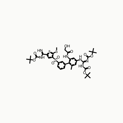 CSc1sc(C(=N)NC(=O)OC(C)(C)C)cc1S(=O)(=O)c1cccc(-c2c(C)cc(N/C(=N\C(=O)OC(C)(C)C)NC(=O)OC(C)(C)C)cc2NC(=O)CO)c1